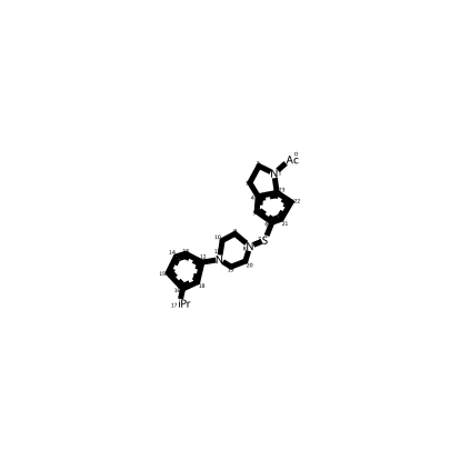 CC(=O)N1CCc2cc(SN3CCN(c4cccc(C(C)C)c4)CC3)ccc21